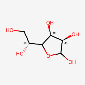 OC[C@@H](O)[C]1OC(O)[C@H](O)[C@@H]1O